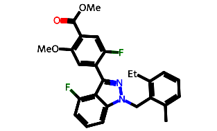 CCc1cccc(C)c1Cn1nc(-c2cc(OC)c(C(=O)OC)cc2F)c2c(F)cccc21